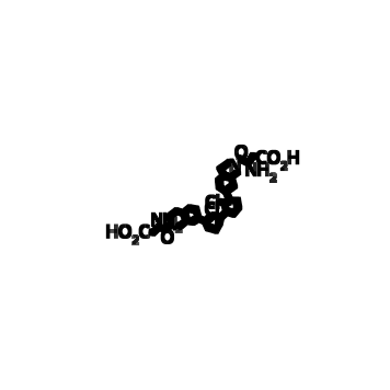 N[C@@H](CC(=O)O)C(=O)N1CCc2ccc(-c3cccc(-c4cccc(-c5ccc6c(c5)CN(C(=O)[C@@H](N)CC(=O)O)CC6)c4Cl)c3Cl)cc2C1